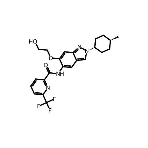 C[C@H]1CC[C@H](n2cc3cc(NC(=O)c4cccc(C(F)(F)F)n4)c(OCCO)cc3n2)CC1